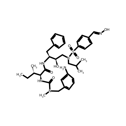 CC[C@H](C)[C@H](NC(=O)N(C)Cc1cccc(N)c1)C(=O)N[C@@H](Cc1ccccc1)[C@H](O)CN(CC(C)C)S(=O)(=O)c1ccc(/C=N/O)cc1